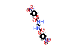 O=C(NCCNC(=O)Oc1ccc([N+](=O)[O-])cc1)Oc1ccc([N+](=O)[O-])cc1